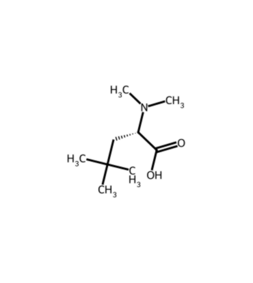 CN(C)[C@@H](CC(C)(C)C)C(=O)O